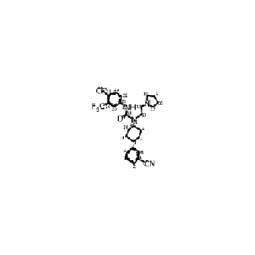 N#Cc1cccc([C@H]2CC[C@@H](N(CCN3CCCC3)C(=O)Nc3ccc(Cl)c(C(F)(F)F)c3)CC2)c1